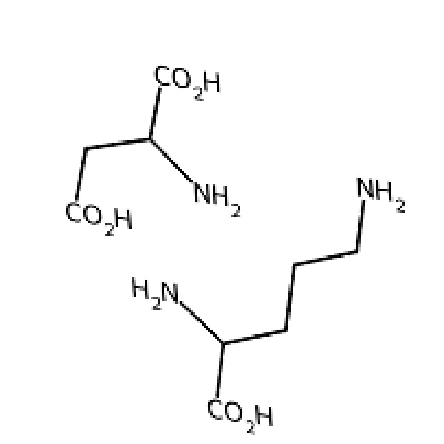 NC(CC(=O)O)C(=O)O.NCCCC(N)C(=O)O